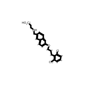 O=C(O)CCNCc1ccc2cc(OCCCc3c(Cl)cccc3Cl)ccc2c1